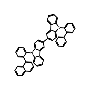 c1ccc(-c2ccccc2-n2c3ccccc3c3cc(-c4ccc5c(c4)c4ccccc4n5-c4ccccc4-c4cccc5ccccc45)ccc32)cc1